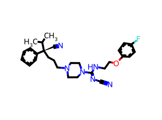 CC(C)[C@](C#N)(CCCN1CCN(/C(=N/C#N)NCCOc2ccc(F)cc2)CC1)c1ccccc1